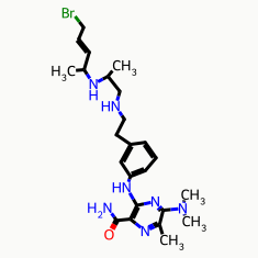 Cc1nc(C(N)=O)c(Nc2cccc(CCNCC(C)NC(C)C=CCBr)c2)nc1N(C)C